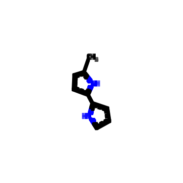 Cc1ccc(-c2ccc[nH]2)[nH]1